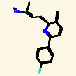 C=C1C=CC(c2ccc(F)cc2)=N[C@H]1C/C=C(\C)NC